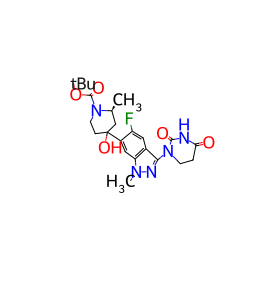 C[C@H]1CC(O)(c2cc3c(cc2F)c(N2CCC(=O)NC2=O)nn3C)CCN1C(=O)OC(C)(C)C